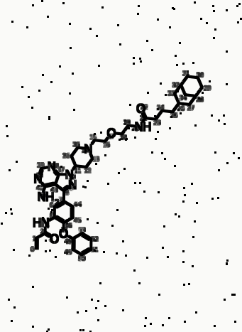 C=CC(=O)Nc1cc(-c2nn(C3CCN(CCOCCNC(=O)CCCC4CC5CCCC(C4)C5)CC3)c3ncnc(N)c23)ccc1Oc1ccccc1